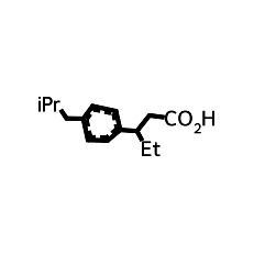 CCC(CC(=O)O)c1ccc(CC(C)C)cc1